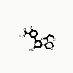 N#Cc1cc(-c2ccc(F)c(C(N)=O)c2)cc([C@@H]2COCCN2C(=O)/C=C\Cl)c1